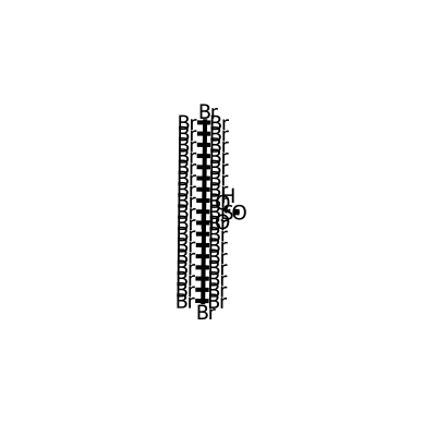 BrC(Br)(Br)C(Br)(Br)C(Br)(Br)C(Br)(Br)C(Br)(Br)C(Br)(Br)C(Br)(Br)C(Br)(Br)C(Br)(Br)C(Br)(Br)C(Br)(Br)C(Br)(Br)C(Br)(Br)C(Br)(Br)C(Br)(Br)C(Br)(Br)C(Br)(Br)Br.O=[SH](=O)O